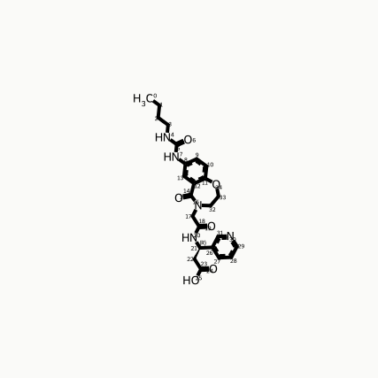 CCCCNC(=O)Nc1ccc2c(c1)C(=O)N(CC(=O)N[C@H](CC(=O)O)c1cccnc1)CCO2